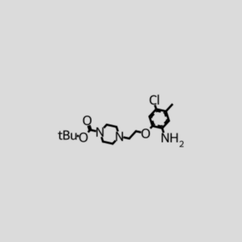 Cc1cc(N)c(OCCN2CCN(C(=O)OC(C)(C)C)CC2)cc1Cl